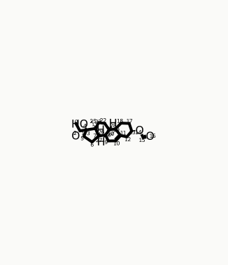 CC(=O)[C@@]1(O)CC[C@H]2[C@@H]3CC=C4C[C@@H](OC=O)CC[C@]4(C)[C@H]3CC[C@@]21C